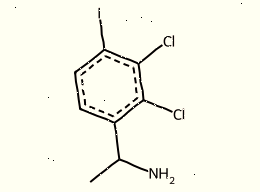 CC(N)c1ccc(I)c(Cl)c1Cl